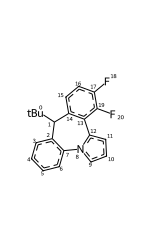 CC(C)(C)C1c2ccccc2-n2cccc2-c2c1ccc(F)c2F